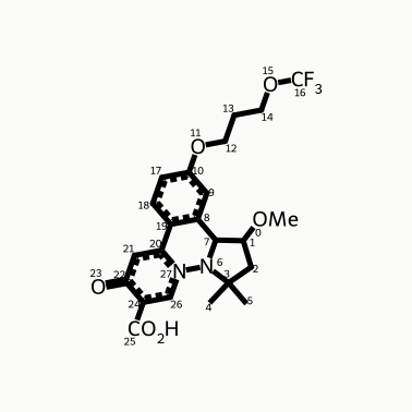 COC1CC(C)(C)N2C1c1cc(OCCCOC(F)(F)F)ccc1-c1cc(=O)c(C(=O)O)cn12